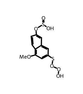 COc1cc(SOOO)cc2cc(OS(=O)O)ccc12